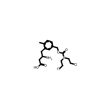 Cc1ccc(COC(=O)N(CCCl)CCCl)cc1CC(N)CC(=O)O